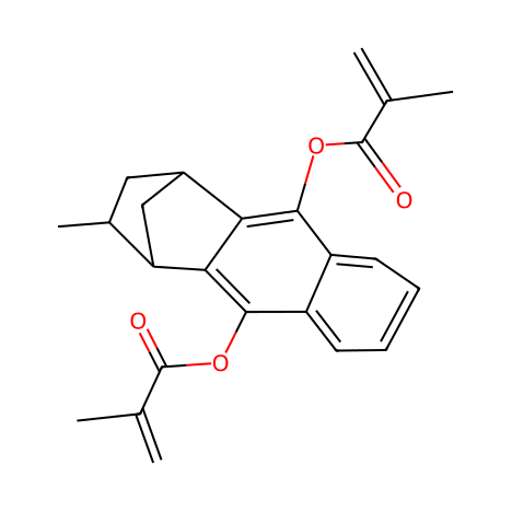 C=C(C)C(=O)Oc1c2c(c(OC(=O)C(=C)C)c3ccccc13)C1CC2CC1C